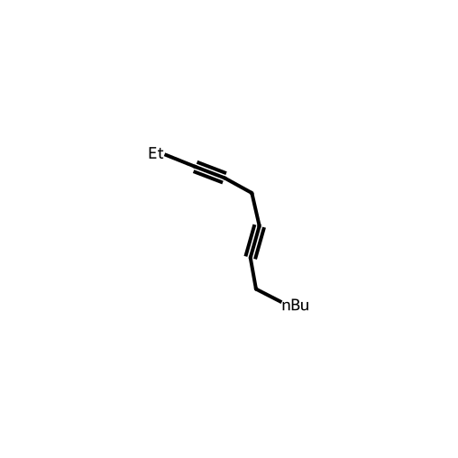 CCC#CCC#CCCCCC